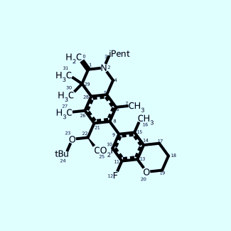 C=C1N(C(C)CCC)Cc2c(C)c(-c3cc(F)c4c(c3C)CCCO4)c([C@H](OC(C)(C)C)C(=O)O)c(C)c2C1(C)C